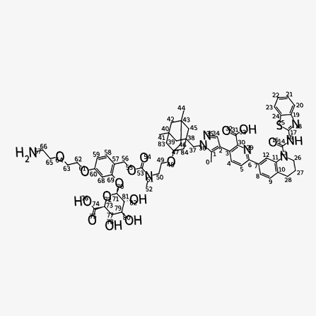 Cc1c(-c2ccc(-c3ccc4c(c3)N(C(=O)Nc3nc5ccccc5s3)CCC4)nc2C(=O)O)cnn1CC12CC3(C)CC(C)(C1)CC(OCCN(C)C(=O)OCc1ccc(OCCOCCN)cc1O[C@@H]1O[C@H](C(=O)O)[C@@H](O)[C@H](O)[C@H]1O)(C3)C2